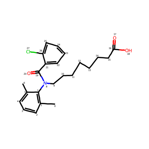 Cc1cccc(C)c1N(CCCCCCCC(=O)O)C(=O)c1ccccc1Cl